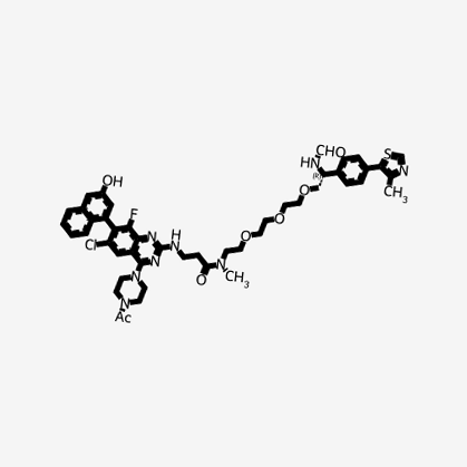 CC(=O)N1CCN(c2nc(NCCC(=O)N(C)CCOCCOCCOC[C@H](NC=O)c3ccc(-c4scnc4C)cc3)nc3c(F)c(-c4cc(O)cc5ccccc45)c(Cl)cc23)CC1